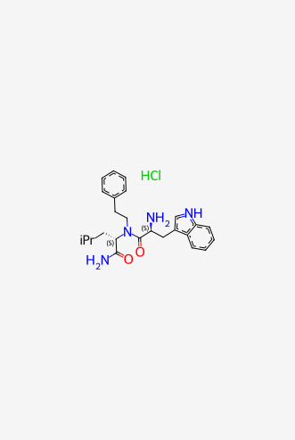 CC(C)C[C@@H](C(N)=O)N(CCc1ccccc1)C(=O)[C@@H](N)Cc1c[nH]c2ccccc12.Cl